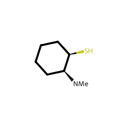 CN[C@H]1CCCC[C@H]1S